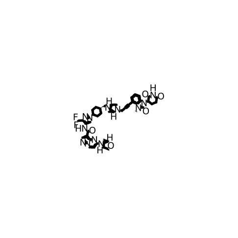 Cn1c(=O)n(C2CCC(=O)NC2=O)c2cccc(C#CCN3C[C@H]4C[C@@H]3CN4C[C@H]3CC[C@H](n4cc(NC(=O)c5cnn6ccc(N7C[C@H]8C[C@@H]7CO8)nc56)c(C(F)F)n4)CC3)c21